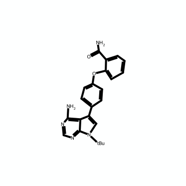 CC(C)(C)n1cc(-c2ccc(Oc3ccccc3C(N)=O)cc2)c2c(N)ncnc21